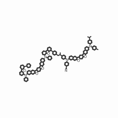 Cc1ccc(N(c2ccc(C(C)C)cc2)c2ccc3cc4c(cc3c2)oc2cc3oc5cc6cc(N(c7ccc(C#N)cc7)c7ccc(C(C)Cc8ccc(-c9cccc%10c9oc9c(N(c%11ccccc%11)c%11ccc%12cc%13c(cc%12c%11)oc%11cc%12oc%14cc%15cc(N(c%16ccccc%16)c%16cccc%17c%16oc%16c(-c%18ccccc%18)cccc%16%17)ccc%15cc%14c%12cc%11%13)cccc9%10)cc8)cc7)ccc6cc5c3cc24)cc1